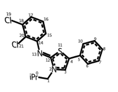 CC(C)Cn1cc(-c2ccccc2)sc1=Nc1cccc(Cl)c1Cl